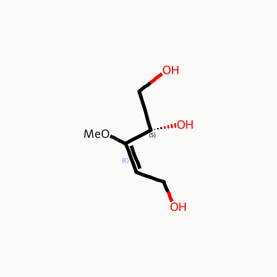 CO/C(=C/CO)[C@@H](O)CO